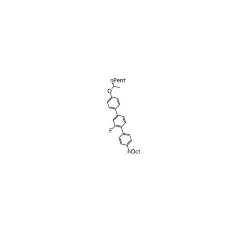 CCCCCCCCc1ccc(-c2ccc(-c3ccc(O[C@H](C)CCCCC)cc3)cc2F)cc1